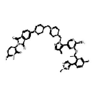 Cc1cnn(CC2CCN(CC3CCN(c4ccc5c(c4)C(=O)N(C4CCC(=O)NC4=O)C5=O)CC3)CC2)c1-c1cnc(N)c(O[C@H](C)c2cc(F)ccc2-c2cnn(C)n2)c1